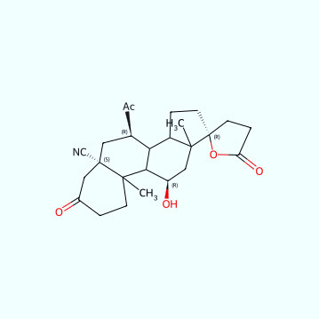 CC(=O)[C@@H]1C[C@]2(C#N)CC(=O)CCC2(C)C2C1C1CC[C@@]3(CCC(=O)O3)C1(C)C[C@H]2O